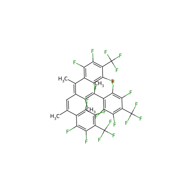 C/C(=C/C(=C(\C)c1c(F)c(F)c(C(F)(F)F)c(F)c1F)C(/C)=C(\C)c1c(F)c(F)c(C(F)(F)F)c(F)c1F)c1c(F)c(F)c(C(F)(F)F)c(F)c1F